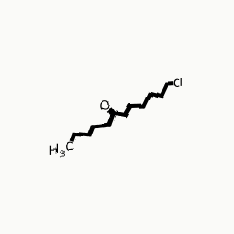 CCCCCC(=O)CCCCCCCl